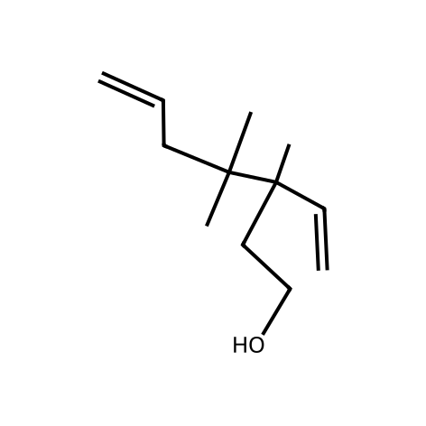 C=CCC(C)(C)C(C)(C=C)CCO